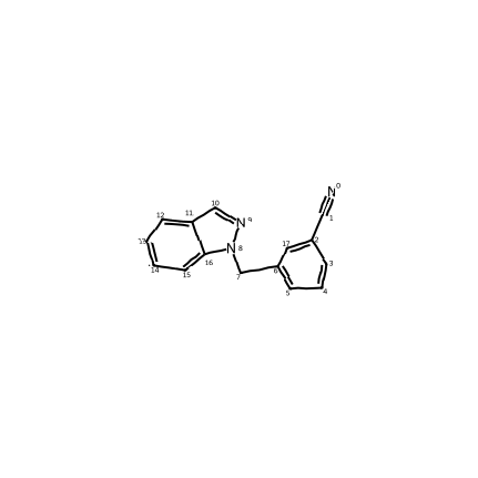 N#Cc1cccc(Cn2ncc3cc[c]cc32)c1